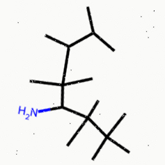 CC(C)C(C)C(C)(C)C(N)C(C)(C)C(C)(C)C